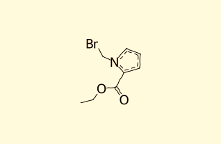 CCOC(=O)c1cccn1CBr